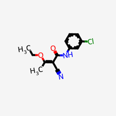 CCO/C(C)=C(/C#N)C(=O)Nc1cccc(Cl)c1